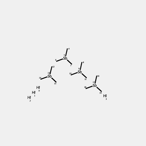 I.I.I.I.[CH3][Sb]([CH3])[CH3].[CH3][Sb]([CH3])[CH3].[CH3][Sb]([CH3])[CH3].[CH3][Sb]([CH3])[CH3]